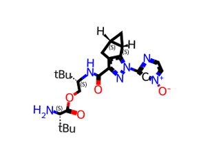 CC(C)(C)[C@H](N)C(=O)OC[C@@H](NC(=O)c1nn(-c2c[n+]([O-])ccn2)c2c1C[C@@H]1C[C@H]21)C(C)(C)C